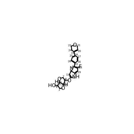 O[C@@H]1CO[C@H]2[C@@H]1OC[C@H]2Oc1cc2nc(-c3ccc(C4=CCOCC4)cc3)c(F)cc2[nH]1